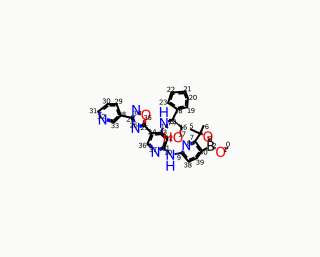 COB1OC(C)(C)c2nc(Nc3cc(N[C@H](CO)c4ccccc4)c(-c4nc(-c5cccnc5)no4)cn3)ccc21